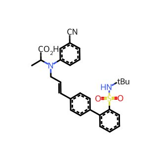 CC(C(=O)O)N(CC=Cc1ccc(-c2ccccc2S(=O)(=O)NC(C)(C)C)cc1)c1cccc(C#N)c1